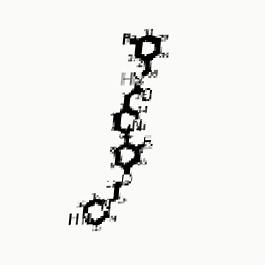 O=C(Cc1ccc(-c2ccc(OCCN3CCNCC3)cc2F)nc1)NCc1cccc(F)c1